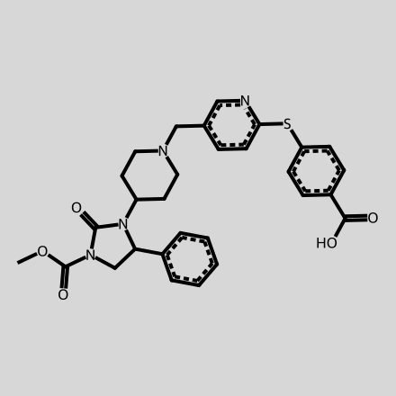 COC(=O)N1CC(c2ccccc2)N(C2CCN(Cc3ccc(Sc4ccc(C(=O)O)cc4)nc3)CC2)C1=O